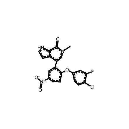 Cn1cc(-c2cc([N+](=O)[O-])ccc2Oc2ccc(Cl)c(F)c2)c2cc[nH]c2c1=O